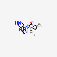 CCC1CCC(C)N(C(=O)C2CN(c3c4c(nc5ccnn35)CCNCC4)C2)C1